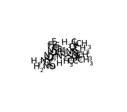 CC(C)(C)OC(=O)NC(CCNc1c(Br)c(C(F)(F)F)nc2nc(N)c(C(N)=O)cc12)C(=O)OC(C)(C)C